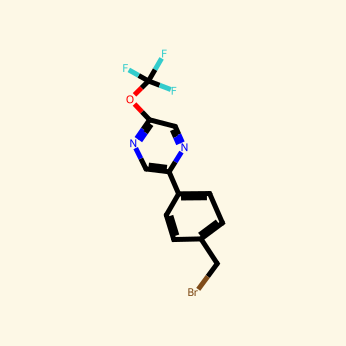 FC(F)(F)Oc1cnc(-c2ccc(CBr)cc2)cn1